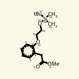 COC(=O)Cc1ccccc1OCCO[Si](C)(C)C(C)(C)C